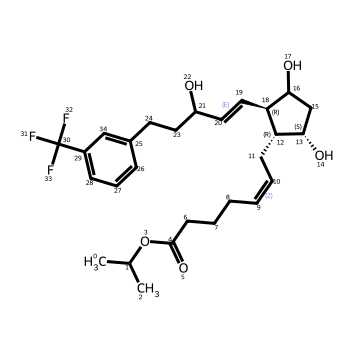 CC(C)OC(=O)CCC/C=C\C[C@H]1[C@@H](O)CC(O)[C@@H]1/C=C/C(O)CCc1cccc(C(F)(F)F)c1